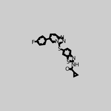 O=C(Nc1nc2ccc(Sc3nnc4ccc(-c5ccc(F)cc5)cn34)cc2s1)C1CC1